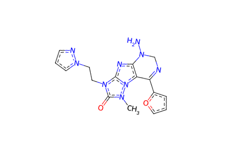 Cn1c(=O)n(CCn2cccn2)c2nc3c(n21)C(c1ccco1)=NCN3N